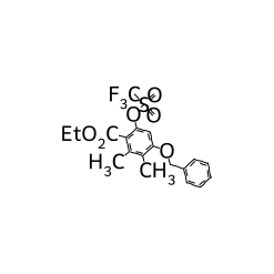 CCOC(=O)c1c(OS(=O)(=O)C(F)(F)F)cc(OCc2ccccc2)c(C)c1C